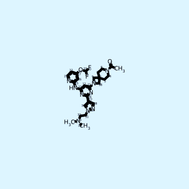 CC(=O)N1CCC2(CC1)CN(c1cc(Nc3cc(OC(F)F)ccn3)nc(-c3cnn(CCN(C)C)c3)n1)C2